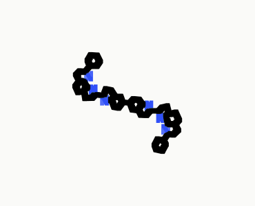 c1ccc(-c2ccc3ccc4ccc(-c5ccc6cc(-c7ccc8nc(-c9ccc%10ccc%11ccc(-c%12ccccc%12)nc%11c%10n9)ccc8c7)ccc6n5)nc4c3n2)cc1